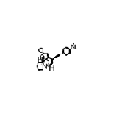 CN(C)c1ccc(C#CC2=C[C@@H]3C[C@@]4(OC(=O)C=C24)[C@H]2CCCCN32)cc1